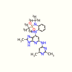 [2H]C([2H])([2H])N(c1ccccc1Nc1cc(Nc2cc(C)nc(C)n2)nc2[nH]c(C)nc12)S(=O)(=O)C([2H])([2H])[2H]